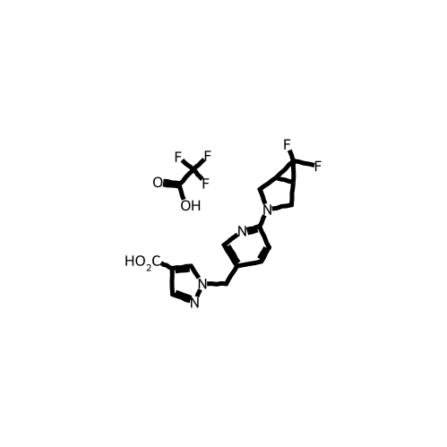 O=C(O)C(F)(F)F.O=C(O)c1cnn(Cc2ccc(N3CC4C(C3)C4(F)F)nc2)c1